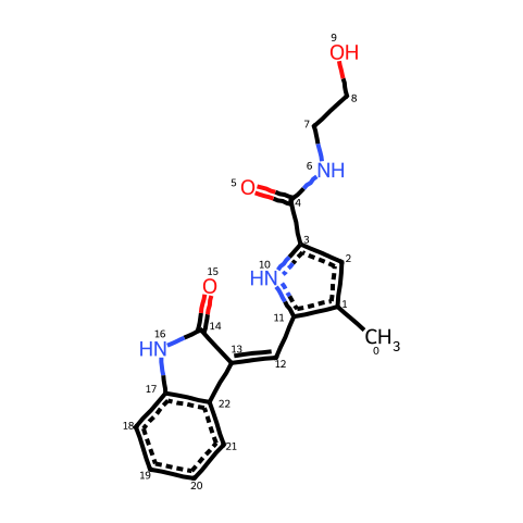 Cc1cc(C(=O)NCCO)[nH]c1/C=C1\C(=O)Nc2ccccc21